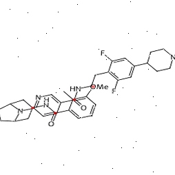 COc1cccc(C(=O)NC2CC3CCC(C2)N3c2ccc(C(=O)NCCc3c(F)cc(C4CCNCC4)cc3F)cn2)c1C